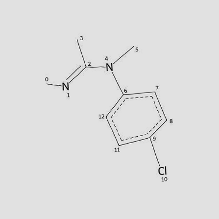 CN=C(C)N(C)c1ccc(Cl)cc1